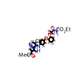 CCOC(=O)N(C)C(=O)C(C)(C)Oc1ccccc1Oc1ccc(Nc2c(C#N)cnn3cc(C(=O)OC)c(C)c23)cc1